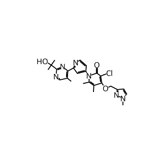 Cc1cnc(C(C)(C)O)nc1-c1cc(-n2c(C)c(C)c(OCc3ccn(C)n3)c(Cl)c2=O)ccn1